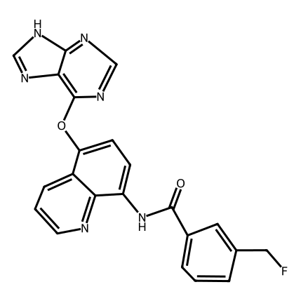 O=C(Nc1ccc(Oc2ncnc3[nH]cnc23)c2cccnc12)c1cccc(CF)c1